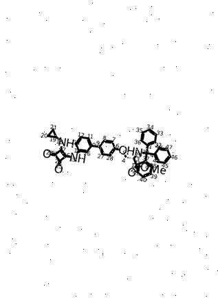 COC(=O)[C@H](COc1ccc(-c2cccc(Nc3c(NC4CC4)c(=O)c3=O)c2)cc1)NC(c1ccccc1)(c1ccccc1)c1ccccc1